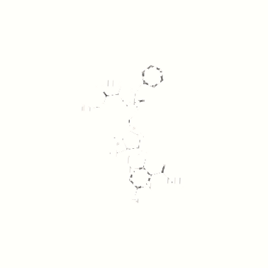 CC(C)OC(=O)C(C)N[P@](=O)(OC[C@H]1O[C@@H](Oc2ncc(Br)nc2C(N)=O)[C@@](F)(Cl)[C@@H]1O)Oc1ccccc1